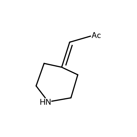 CC(=O)C=C1CCNCC1